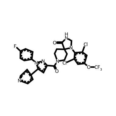 O=C(c1cc(-c2ccncc2)n(-c2ccc(F)cc2)n1)N1CCC2(CC1)C(=O)NCN2c1c(Cl)cc(OC(F)(F)F)cc1Cl